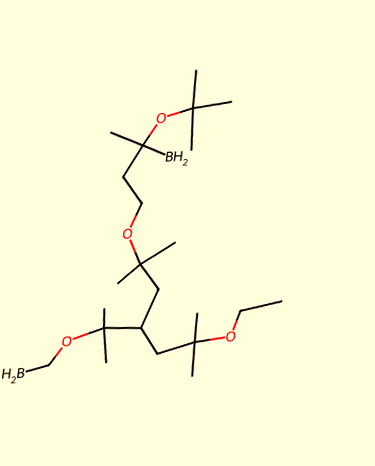 BCOC(C)(C)C(CC(C)(C)OCC)CC(C)(C)OCCC(B)(C)OC(C)(C)C